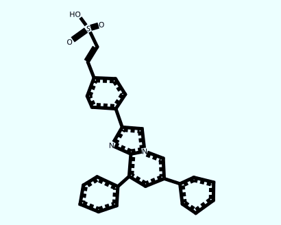 O=S(=O)(O)C=Cc1ccc(-c2cn3cc(-c4ccccc4)cc(-c4ccccc4)c3n2)cc1